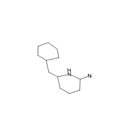 [N]C1CCCC(CC2CCCCC2)N1